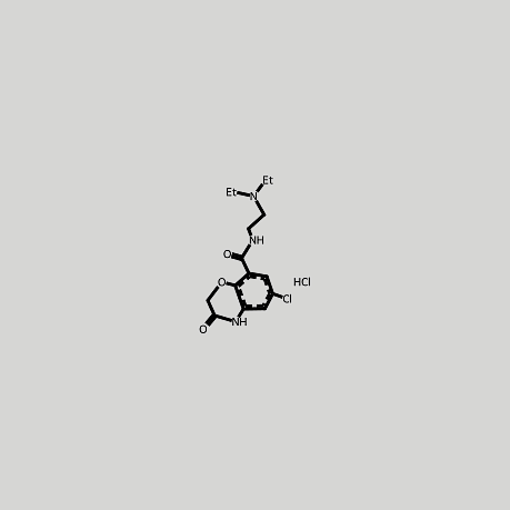 CCN(CC)CCNC(=O)c1cc(Cl)cc2c1OCC(=O)N2.Cl